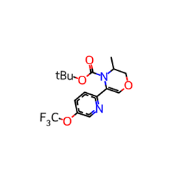 CC1COC=C(c2ccc(OC(F)(F)F)cn2)N1C(=O)OC(C)(C)C